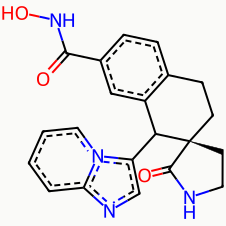 O=C(NO)c1ccc2c(c1)C(c1cnc3ccccn13)[C@]1(CCNC1=O)CC2